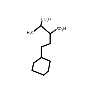 CC(C(=O)O)C(CC[C]1CCCCC1)S(=O)(=O)O